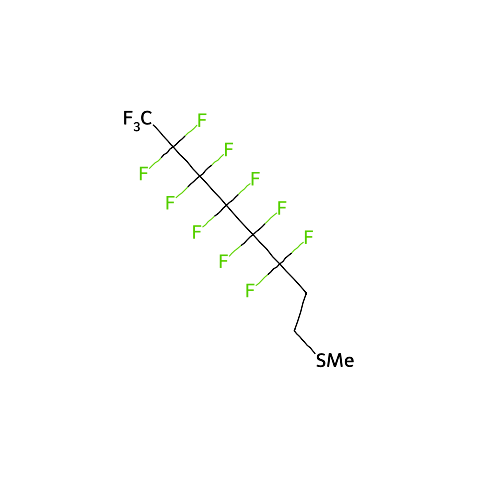 CSCCC(F)(F)C(F)(F)C(F)(F)C(F)(F)C(F)(F)C(F)(F)F